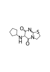 O=C1N=C2SCCN2C(=O)C1NC1CCCC1